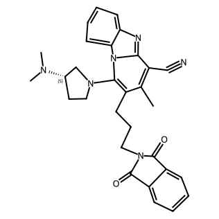 Cc1c(CCCN2C(=O)c3ccccc3C2=O)c(N2CC[C@H](N(C)C)C2)n2c(nc3ccccc32)c1C#N